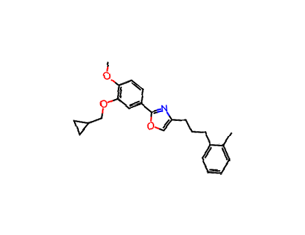 COc1ccc(-c2nc(CCCc3ccccc3C)co2)cc1OCC1CC1